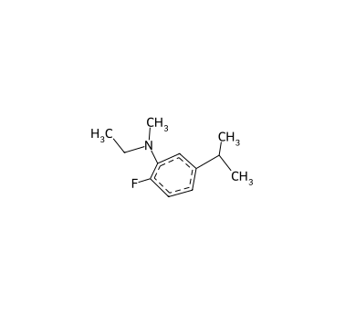 CCN(C)c1cc(C(C)C)ccc1F